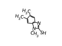 Cc1cc2nc(S)n(C)c2cc1C